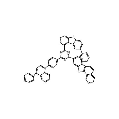 c1ccc(-c2ccc3sc4cccc(-c5nc(-c6ccc(-c7ccc(-c8ccccc8)c8ccccc78)cc6)nc(-c6ccc7c(c6)oc6c8ccccc8ccc76)n5)c4c3c2)cc1